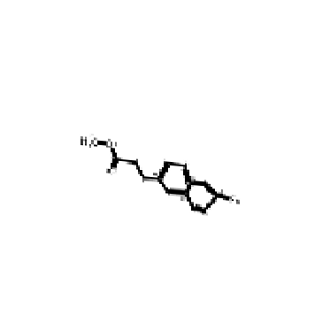 COC(=O)CCc1ccc2cc(F)ccc2c1